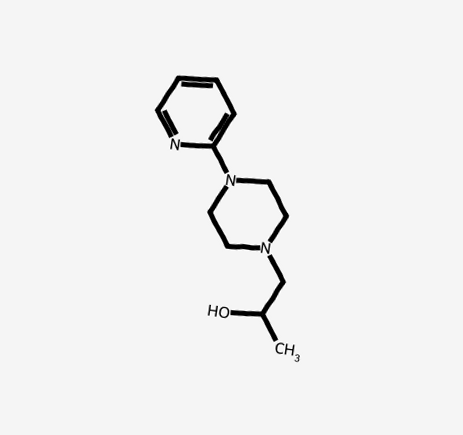 CC(O)CN1CCN(c2ccccn2)CC1